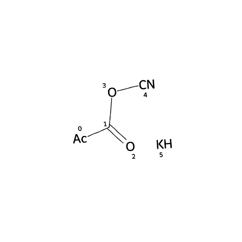 CC(=O)C(=O)OC#N.[KH]